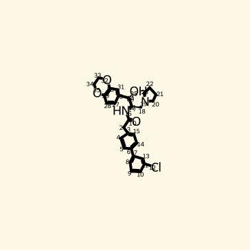 O=C(Cc1ccc(-c2cccc(Cl)c2)cc1)N[C@H](CN1CCCC1)[C@@H](O)c1ccc2c(c1)OCCO2